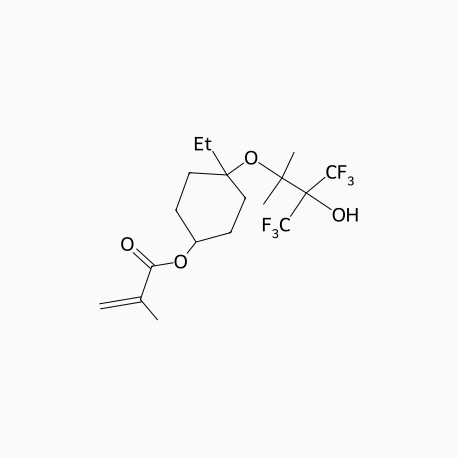 C=C(C)C(=O)OC1CCC(CC)(OC(C)(C)C(O)(C(F)(F)F)C(F)(F)F)CC1